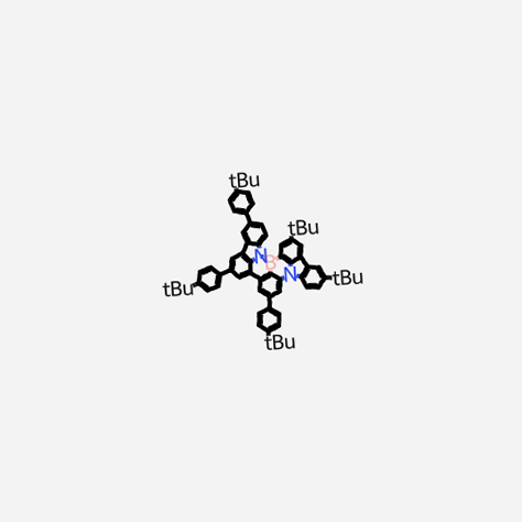 CC(C)(C)c1ccc(-c2cc3c4c(c2)-n2c5ccc(C(C)(C)C)cc5c5cc(C(C)(C)C)cc(c52)B4n2c4ccc(-c5ccc(C(C)(C)C)cc5)cc4c4cc(-c5ccc(C(C)(C)C)cc5)cc-3c42)cc1